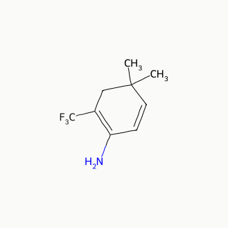 CC1(C)C=CC(N)=C(C(F)(F)F)C1